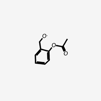 CC(=O)Oc1ccccc1C[O]